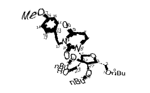 CCCCOC[C@H]1O[C@@H](n2ccc(=O)n(Cc3ccc(OC)cc3)c2=O)[C@](CO)(OCCCC)[C@@H]1OCCCC